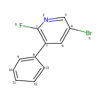 Fc1ncc(Br)cc1-c1ccccc1